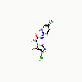 CCCC(C(=O)Nc1ccc(Br)cn1)n1cnc(Br)c1